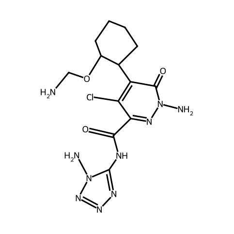 NCOC1CCCCC1c1c(Cl)c(C(=O)Nc2nnnn2N)nn(N)c1=O